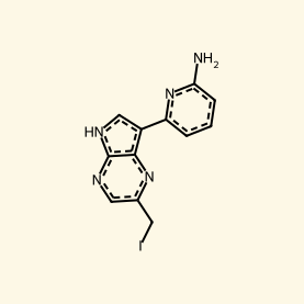 Nc1cccc(-c2c[nH]c3ncc(CI)nc23)n1